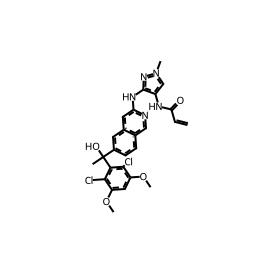 C=CC(=O)Nc1cn(C)nc1Nc1cc2cc(C(C)(O)c3c(Cl)c(OC)cc(OC)c3Cl)ccc2cn1